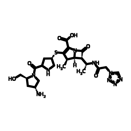 C[C@@H](NC(=O)Cn1cnnn1)[C@H]1C(=O)N2C(C(=O)O)=C(S[C@@H]3CNC(C(=O)N4C[C@H](N)C[C@H]4CO)C3)[C@H](C)[C@H]12